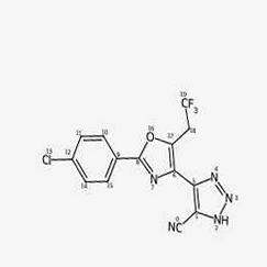 N#Cc1[nH]nnc1-c1nc(-c2ccc(Cl)cc2)oc1CC(F)(F)F